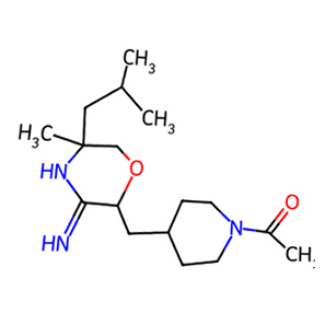 CC(=O)N1CCC(CC2OCC(C)(CC(C)C)NC2=N)CC1